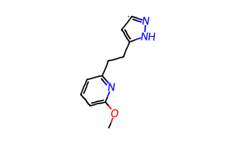 COc1cccc(CCc2c[c]n[nH]2)n1